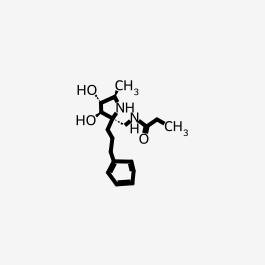 CCC(=O)NC[C@@]1(CCCc2ccccc2)N[C@H](C)[C@@H](O)[C@@H]1O